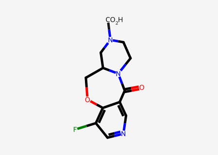 O=C(O)N1CCN2C(=O)c3cncc(F)c3OCC2C1